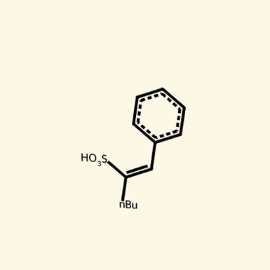 CCCCC(=Cc1ccccc1)S(=O)(=O)O